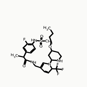 CCCCOC1CCNC(N2C=C(CNC(=O)C(C)c3ccc(NS(C)(=O)=O)c(F)c3)C=CC2C(F)(F)F)C1